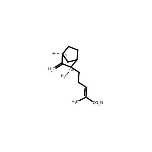 C=C1[C@H]2CCC(C2)[C@@]1(C)CCC=C(C)C(=O)OCC